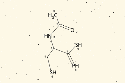 CC(=O)NC(CS)C(=P)S